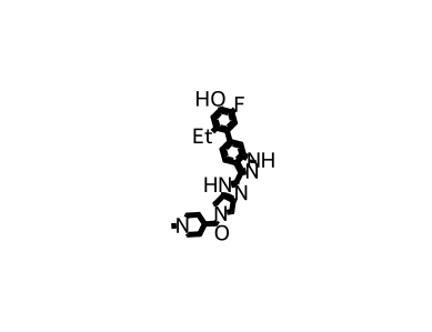 CCc1cc(O)c(F)cc1-c1ccc2c(-c3nc4c([nH]3)CN(C(=O)C3CCN(C)CC3)C4)n[nH]c2c1